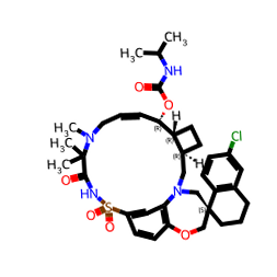 CC(C)NC(=O)O[C@H]1C=CCN(C)C(C)(C)C(=O)NS(=O)(=O)c2ccc3c(c2)N(C[C@@H]2CC[C@H]21)C[C@@]1(CCCc2cc(Cl)ccc21)CO3